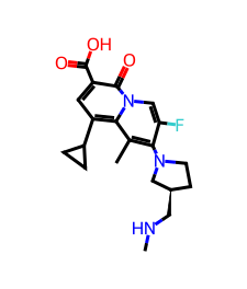 CNC[C@@H]1CCN(c2c(F)cn3c(=O)c(C(=O)O)cc(C4CC4)c3c2C)C1